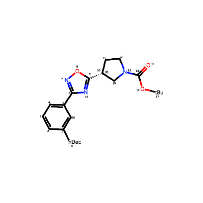 CCCCCCCCCCc1cccc(-c2noc([C@@H]3CCN(C(=O)OC(C)(C)C)C3)n2)c1